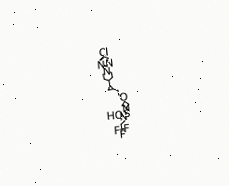 ON(CCC(F)(F)F)SN1CC(OCCC2CC2C2CCN(c3ncc(Cl)cn3)CC2)C1